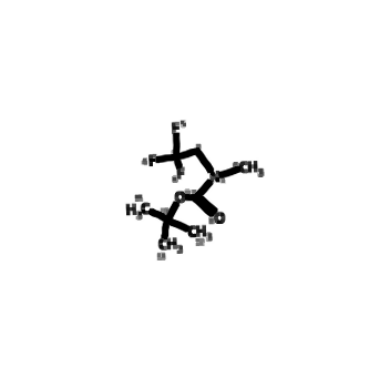 CN(CC(F)(F)F)C(=O)OC(C)(C)C